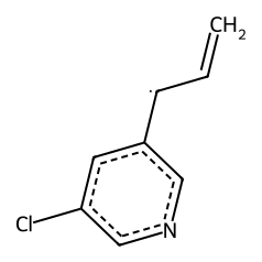 C=C[CH]c1cncc(Cl)c1